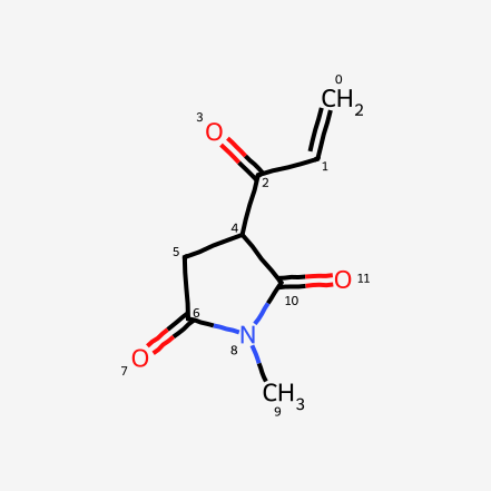 C=CC(=O)C1CC(=O)N(C)C1=O